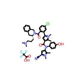 Cc1c(N(C(=O)c2cc(-c3cc(Cl)ccc3C(=O)N3Cc4ccccc4C[C@H]3CCCN(C)C)n(C)c2C)c2ccc(O)cc2)cc(C#N)n1C.O=C(O)C(F)(F)F